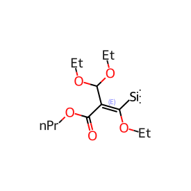 CCCOC(=O)/C(=C(/[Si])OCC)C(OCC)OCC